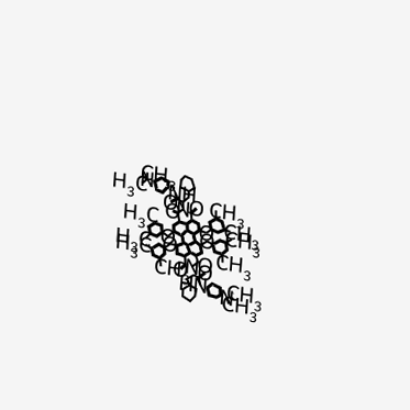 Cc1cc(C)cc(Oc2cc3c4c(cc(Oc5cc(C)cc(C)c5)c5c6c(Oc7cc(C)cc(C)c7)cc7c8c(cc(Oc9cc(C)cc(C)c9)c(c2c45)c86)C(=O)N(C(CC2CCCCC2)C(=O)Nc2ccc(N(C)C)cc2)C7=O)C(=O)N(C(CC2CCCCC2)C(=O)Nc2ccc(N(C)C)cc2)C3=O)c1